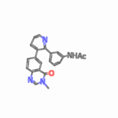 CC(=O)Nc1cccc(-c2ncccc2-c2ccc3ncn(C)c(=O)c3c2)c1